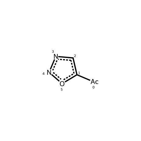 CC(=O)c1cnno1